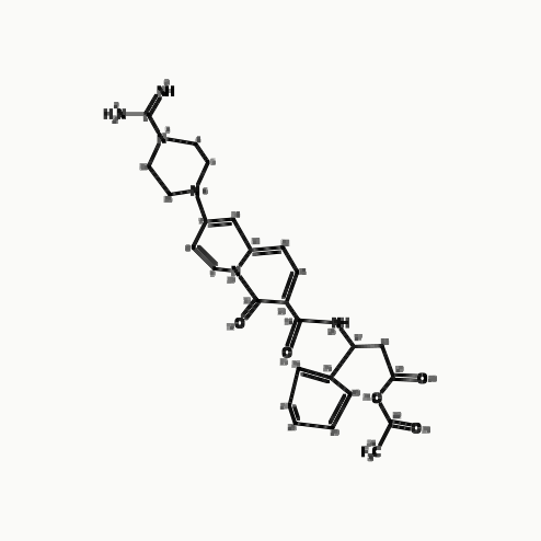 N=C(N)N1CCN(c2ccn3c(=O)c(C(=O)NC(CC(=O)OC(=O)C(F)(F)F)c4ccccc4)ccc3c2)CC1